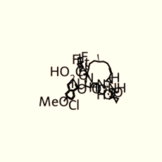 CC[C@@H]1C[C@@H](C)CCC=C[C@@H]2C[C@@]2(C(=O)NS(=O)(=O)C2(C)CC2)NC(=O)[C@@H]2C[C@@H](Oc3nccc4cc(OC)c(Cl)cc34)CN2C(=O)[C@H]1N(C(=O)O)C(C)(C)C(C)(F)F